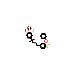 CC(C)(CCCc1ccc(F)c(Oc2ccccc2)c1)c1ccc(OC(F)(F)F)cc1